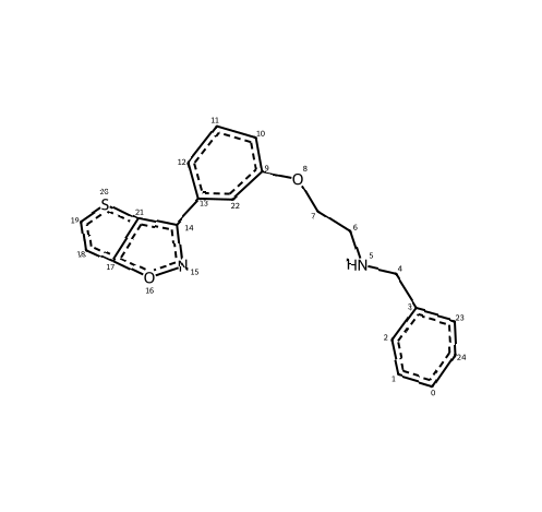 c1ccc(CNCCOc2cccc(-c3noc4ccsc34)c2)cc1